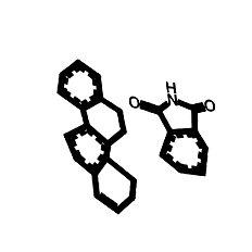 C1=Cc2ccc3c(c2CC1)CCc1ccccc1-3.O=C1NC(=O)c2ccccc21